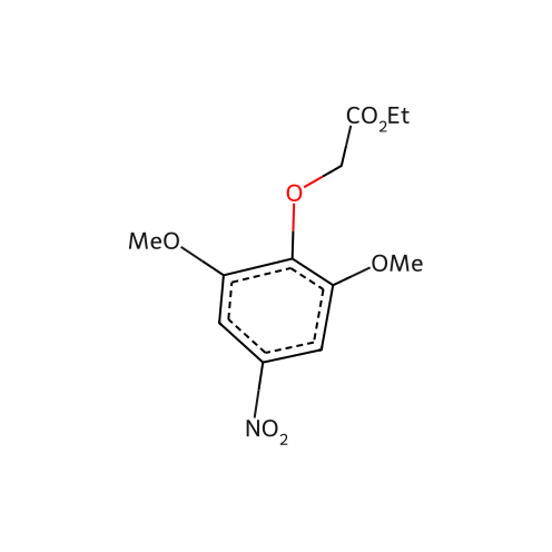 CCOC(=O)COc1c(OC)cc([N+](=O)[O-])cc1OC